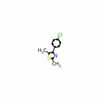 Cc1nc(-c2ccc(Cl)cc2)c(C)s1